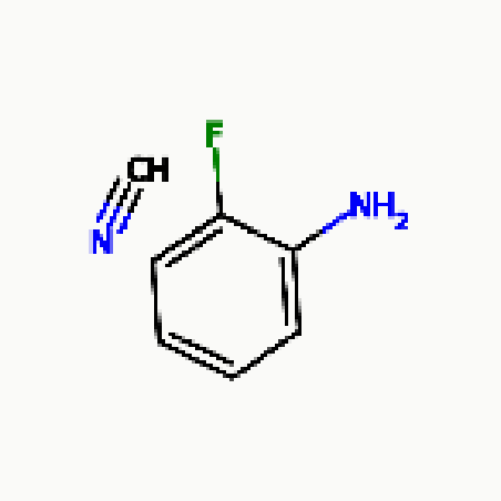 C#N.Nc1ccccc1F